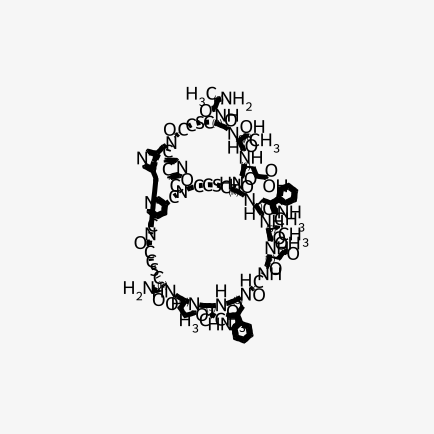 CC(C)[C@@H]1NC(=O)[C@H](Cc2c[nH]c3ccccc23)NC(=O)[C@@H]2CSCCC(=O)N3Cc4cncc(c4)CN(Cc4cncc(c4)CN(Cc4cncc(c4)C3)C(=O)CCSC[C@H](NC(=O)[C@H](C)N)C(=O)N[C@@H]([C@@H](C)O)C(=O)N[C@@H](CCC(=O)O)C(=O)N2)C(=O)CCSC[C@@H](C(N)=O)NC(=O)[C@@H]2CCCN2C(=O)[C@H](C(C)C)NC(=O)[C@H](Cc2c[nH]c3ccccc23)NC(=O)CNC(=O)[C@H](CC(=O)O)NC1=O